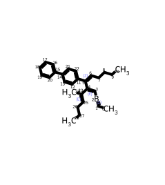 C\C=B/C=C(C(=C\CCCC)/c1ccc(-c2ccccc2)cc1)\C(C)=C\CCC